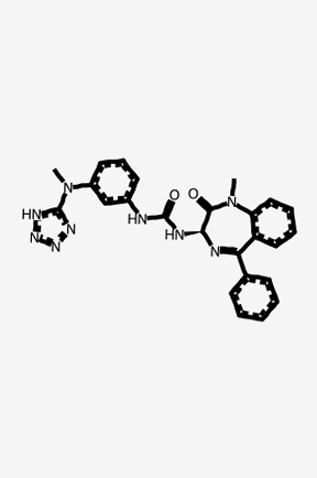 CN1C(=O)[C@H](NC(=O)Nc2cccc(N(C)c3nnn[nH]3)c2)N=C(c2ccccc2)c2ccccc21